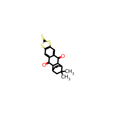 CC1(C)CC2C=CC1C1C(=O)c3cc4sc(=S)sc4cc3C(=O)C21